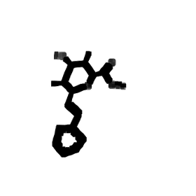 COC(=O)[C@H]1O[C@@H](/C=C/c2ccccc2)[C@@H](C)[C@@H](O)[C@H]1C